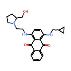 O=C1c2ccccc2C(=O)c2c(NCC3CC3)ccc(NCCN3CCCC3CO)c21